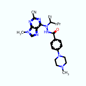 CCCC(CC)N(NC(=O)c1ccc(N2CCN(C)CC2)cc1)c1nc(C#N)nc2c1ncn2C